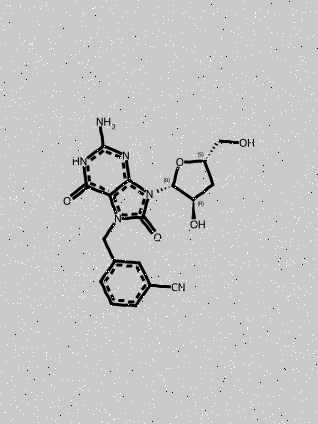 N#Cc1cccc(Cn2c(=O)n([C@@H]3O[C@H](CO)C[C@H]3O)c3nc(N)[nH]c(=O)c32)c1